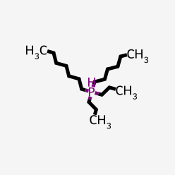 CCCCCCC[PH](CCC)(CCC)CCCCCC